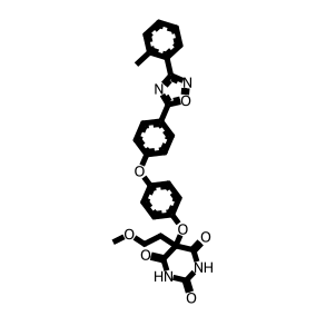 COCCC1(Oc2ccc(Oc3ccc(-c4nc(-c5ccccc5C)no4)cc3)cc2)C(=O)NC(=O)NC1=O